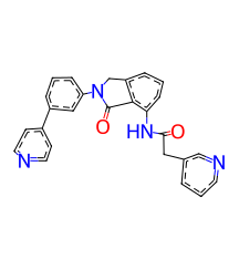 O=C(Cc1cccnc1)Nc1cccc2c1C(=O)N(c1cccc(-c3ccncc3)c1)C2